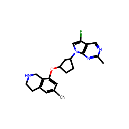 Cc1ncc2c(F)cn(C3CCC(Oc4cc(C#N)cc5c4CNCC5)C3)c2n1